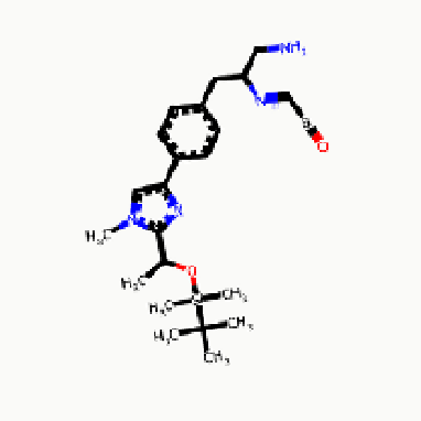 CC(O[Si](C)(C)C(C)(C)C)c1nc(-c2ccc(CC(CN)/N=C/B=O)cc2)cn1C